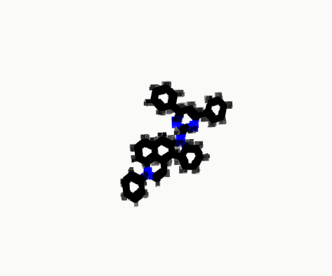 C1=CN(c2ccccc2)c2cccc3cc4c(c1c23)c1ccccc1n4-c1nc(-c2ccccc2)cc(-c2ccccc2)n1